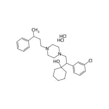 CC(CCN1CCN(CC(c2cccc(Cl)c2)C2(O)CCCCC2)CC1)c1ccccc1.Cl.Cl